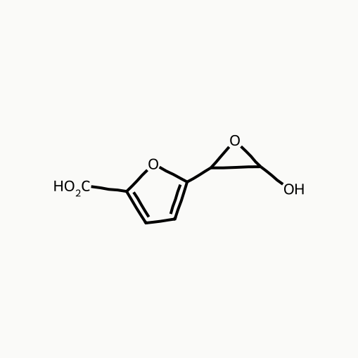 O=C(O)c1ccc(C2OC2O)o1